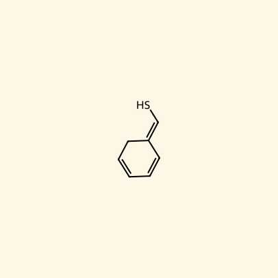 S/C=C1/C=CC=CC1